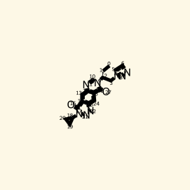 CC[C@H](Cn1ccnn1)n1cnc2cc3c(=O)n(C4CC4)nnc3cc2c1=O